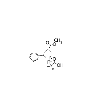 COC(=O)C1CNCC(c2ccccc2)C1.O=C(O)C(F)(F)F